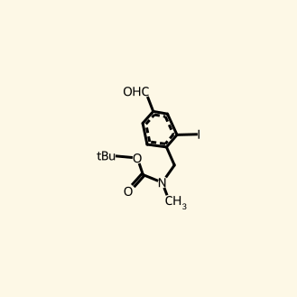 CN(Cc1ccc(C=O)cc1I)C(=O)OC(C)(C)C